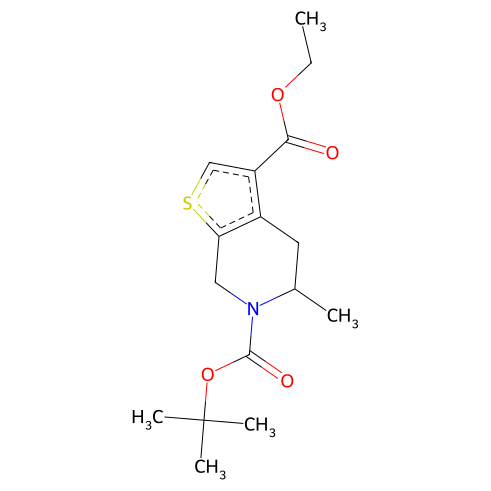 CCOC(=O)c1csc2c1CC(C)N(C(=O)OC(C)(C)C)C2